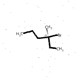 CCC[C@@](C)(Br)CC